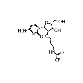 Nc1ccn([C@@H]2O[C@H](CO)[C@@H](O)[C@H]2OCCCNC(=O)C(F)(F)F)c(=O)n1